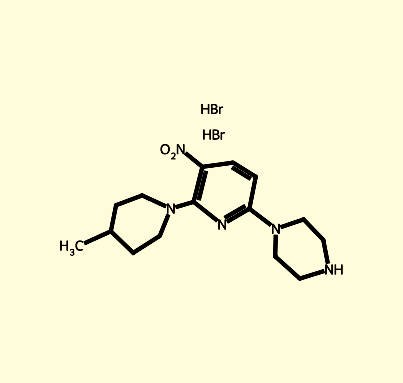 Br.Br.CC1CCN(c2nc(N3CCNCC3)ccc2[N+](=O)[O-])CC1